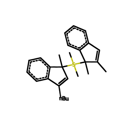 CCCCC1=CC(C)(S(C)(C)C2(C)C(C)=Cc3ccccc32)c2ccccc21